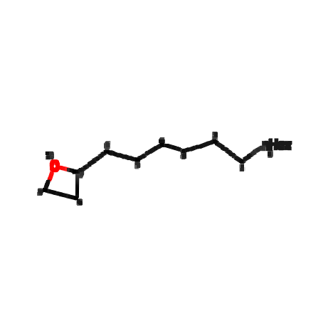 CCCCCCCCCCCC[C]1CCO1